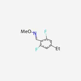 CCc1cc(F)c(/C=N/OC)c(F)c1